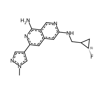 Cn1cc(-c2cc3cc(NCC4C[C@@H]4F)ncc3c(N)n2)cn1